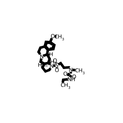 CCNS(=O)(=O)N(C)CCCS(=O)(=O)N1CCC[C@H]2CN3CCc4cc(OC)ccc4[C@@H]3C[C@H]21